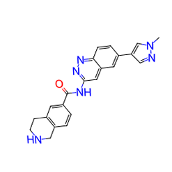 Cn1cc(-c2ccc3nnc(NC(=O)c4ccc5c(c4)CCNC5)cc3c2)cn1